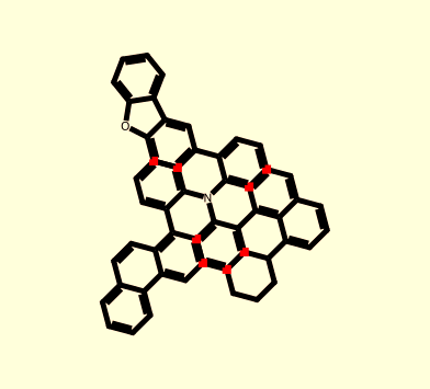 c1ccc(N(c2ccccc2-c2cccc3c2ccc2ccccc23)c2ccccc2-c2cccc3cccc(C4CCCCC4)c23)c(-c2ccc3oc4ccccc4c3c2)c1